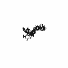 CCCn1c(COCC)nc2c(N)nc3ccc(OC4CCN(C(=O)OC(C)(C)C)CC4)cc3c21